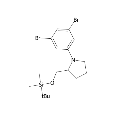 CC(C)(C)[Si](C)(C)OCC1CCCN1c1cc(Br)cc(Br)c1